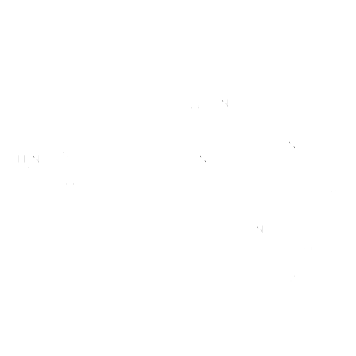 COc1ncc2c(NCc3ccc(S(N)(=O)=O)cc3)c([N+](=O)[O-])cnc2c1Br